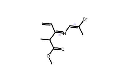 C=C/C(=N\C=C(/C)Br)C(C)C(=O)OC